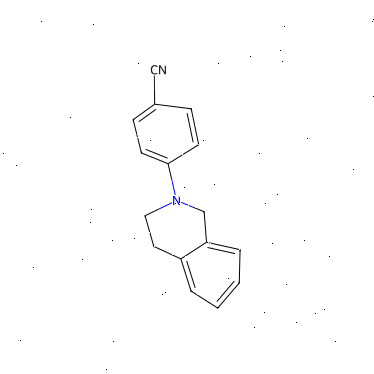 N#Cc1ccc(N2CCc3ccccc3C2)cc1